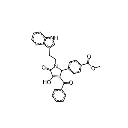 COC(=O)c1ccc(C2C(C(=O)c3ccccc3)=C(O)C(=O)N2CCc2c[nH]c3ccccc23)cc1